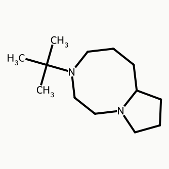 CC(C)(C)N1CCCC2CCCN2CC1